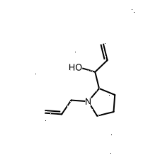 C=CCN1CCCC1C(O)C=C